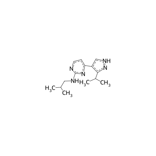 CC(C)CNc1nccc(-c2c[nH]nc2C(C)C)n1